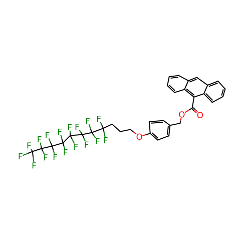 O=C(OCc1ccc(OCCCC(F)(F)C(F)(F)C(F)(F)C(F)(F)C(F)(F)C(F)(F)C(F)(F)C(F)(F)F)cc1)c1c2ccccc2cc2ccccc12